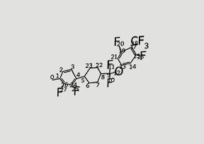 Cc1ccc(C2CCC(C(F)(F)Oc3cc(F)c(C(F)(F)F)c(F)c3)CC2)c(F)c1F